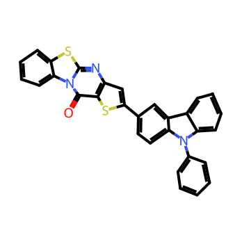 O=c1c2sc(-c3ccc4c(c3)c3ccccc3n4-c3ccccc3)cc2nc2sc3ccccc3n12